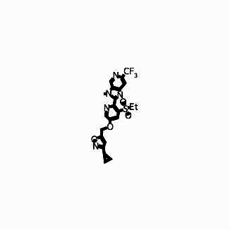 CCS(=O)(=O)c1cc(OCc2cc(C3CC3)no2)cnc1-c1nc2cc(C(F)(F)F)ncc2n1C